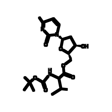 Cc1ccn([C@@H]2C[C@H](O)[C@H](COC(=O)C(NC(=O)OC(C)(C)C)C(C)C)O2)c(=O)n1